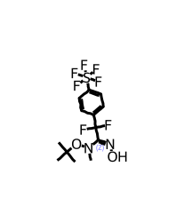 CN(OC(C)(C)C)/C(=N\O)C(F)(F)c1ccc(S(F)(F)(F)(F)F)cc1